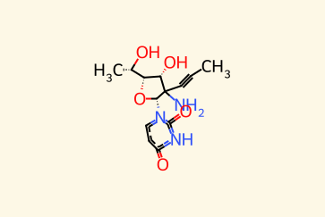 CC#CC1(N)[C@@H](O)[C@@H]([C@H](C)O)O[C@H]1n1ccc(=O)[nH]c1=O